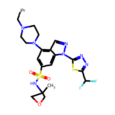 CC(C)CN1CCN(c2cc(S(=O)(=O)NC3(C)COC3)cc3c2cnn3-c2nnc(C(F)F)s2)CC1